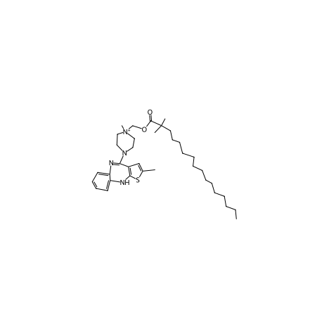 CCCCCCCCCCCCCCC(C)(C)C(=O)OC[N+]1(C)CCN(C2=Nc3ccccc3Nc3sc(C)cc32)CC1